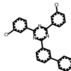 Clc1cccc(-c2nc(-c3cccc(Cl)c3)nc(-c3cccc(-c4ccccc4)c3)n2)c1